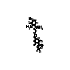 Cc1cc(COCCCN(N)c2ccc(Br)c(C)c2N)cc(C)c1C(=O)OC(C)(C)C